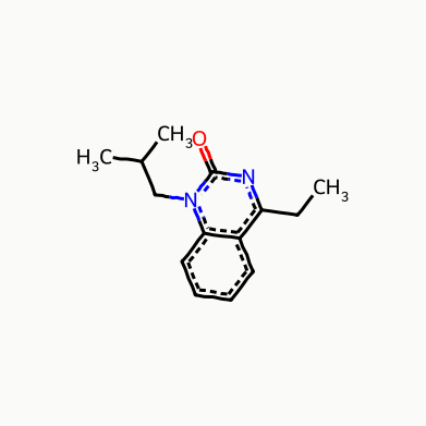 CCc1nc(=O)n(CC(C)C)c2ccccc12